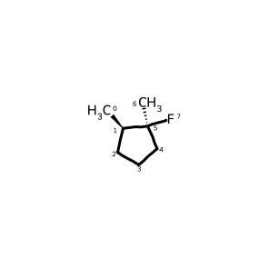 C[C@@H]1CCC[C@]1(C)F